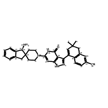 CC1(C)C=C(c2n[nH]c3nc(N4CCC5(CC4)Cc4ccccc4[C@H]5N)[nH]c(=O)c23)c2ccc(C#N)nc2C1